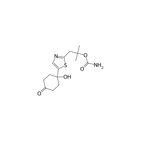 CC(C)(Cc1ncc(C2(O)CCC(=O)CC2)s1)OC(N)=O